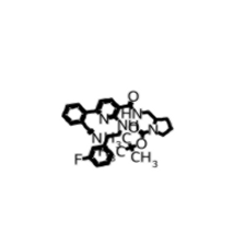 CC(C)(C)OC(=O)N1CCCC1CNC(=O)c1ccc(-c2ccccc2C#N)nc1NCCc1cccc(F)c1